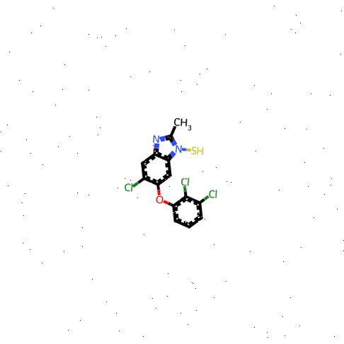 Cc1nc2cc(Cl)c(Oc3cccc(Cl)c3Cl)cc2n1S